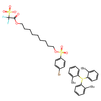 CC(C)(C)c1ccccc1[S+](c1ccccc1C(C)(C)C)c1ccccc1C(C)(C)C.O=C(OCCCCCCCCCOS(=O)(=O)c1ccc(Br)cc1)C(F)(F)S(=O)(=O)[O-]